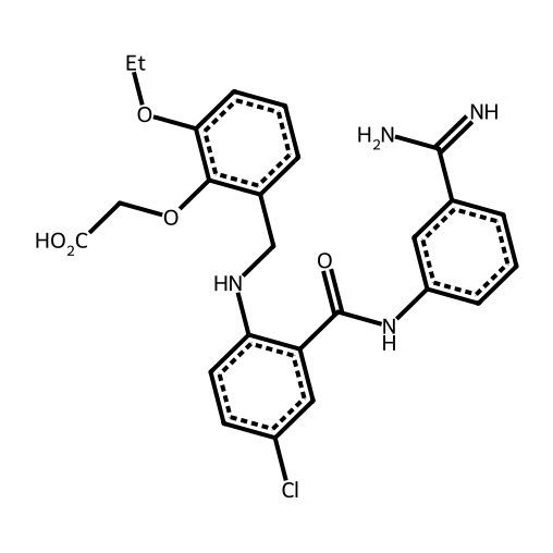 CCOc1cccc(CNc2ccc(Cl)cc2C(=O)Nc2cccc(C(=N)N)c2)c1OCC(=O)O